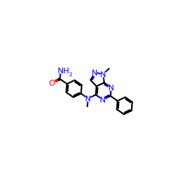 CN(c1ccc(C(N)=O)cc1)c1nc(-c2ccccc2)nc2c1cnn2C